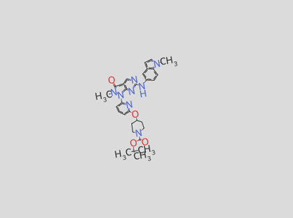 Cn1ccc2cc(Nc3ncc4c(=O)n(C)n(-c5cccc(OC6CCN(C(=O)OC(C)(C)C)CC6)n5)c4n3)ccc21